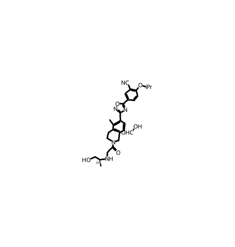 Cc1c(-c2noc(-c3ccc(OC(C)C)c(C#N)c3)n2)ccc2c1CCN(C(=O)CN[C@@H](C)CO)C2.O=CO